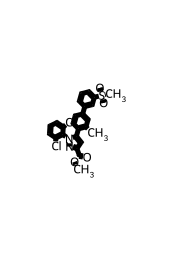 COC(=O)c1cc(-c2ccc(-c3cccc(S(C)(=O)=O)c3)cc2C)n(-c2c(Cl)cccc2Cl)n1